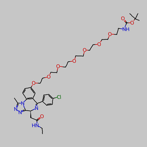 CCNC(=O)C[C@@H]1N=C(c2ccc(Cl)cc2)c2cc(OCCOCCOCCOCCOCCOCCOCCNC(=O)OC(C)(C)C)ccc2-n2c(C)nnc21